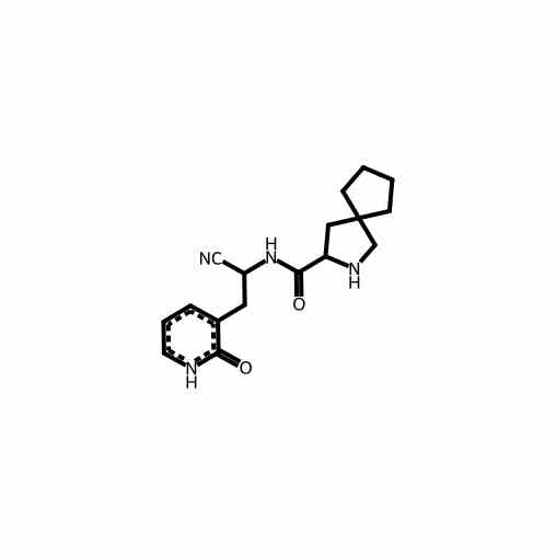 N#CC(Cc1ccc[nH]c1=O)NC(=O)C1CC2(CCCC2)CN1